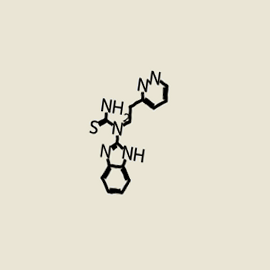 NC(=S)N(CCc1cccnn1)c1nc2ccccc2[nH]1